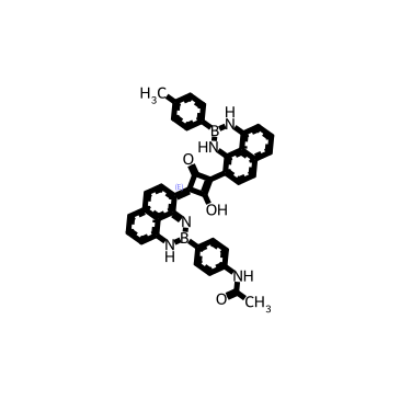 CC(=O)Nc1ccc(B2N=c3/c(=C4/C(=O)C(c5ccc6cccc7c6c5NB(c5ccc(C)cc5)N7)=C4O)ccc4cccc(c34)N2)cc1